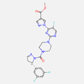 COC(=O)c1cnn(-c2nc(N3CCN(C(=O)N4N=CC[C@H]4c4cc(F)cc(F)c4)CC3)ncc2F)c1